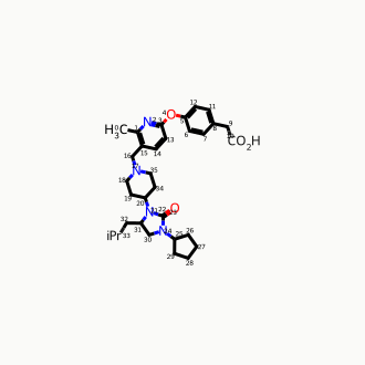 Cc1nc(Oc2ccc(CC(=O)O)cc2)ccc1CN1CCC(N2C(=O)N(C3CCCC3)CC2CC(C)C)CC1